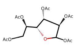 CC(=O)OC[C@@H](OC(C)=O)[C@H]1OC(OC(C)=O)[C@H](OC(C)=O)[C@H]1OC(C)=O